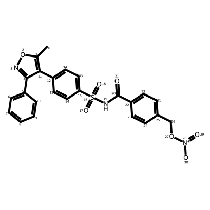 Cc1onc(-c2ccccc2)c1-c1ccc(S(=O)(=O)NC(=O)c2ccc(CO[N+](=O)[O-])cc2)cc1